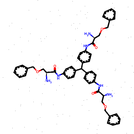 N[C@@H](COCc1ccccc1)C(=O)Nc1ccc(C(c2ccc(NC(=O)[C@@H](N)COCc3ccccc3)cc2)c2ccc(NC(=O)[C@@H](N)COCc3ccccc3)cc2)cc1